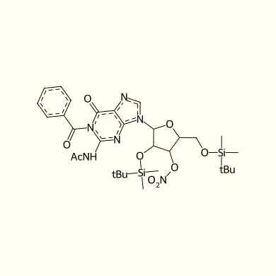 CC(=O)Nc1nc2c(ncn2C2OC(CO[Si](C)(C)C(C)(C)C)C(O[N+](=O)[O-])C2O[Si](C)(C)C(C)(C)C)c(=O)n1C(=O)c1ccccc1